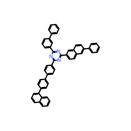 c1ccc(-c2cccc(-c3nc(-c4ccc(-c5ccc(-c6cccc7ccccc67)cc5)cc4)nc(-c4ccc5cc(-c6ccccc6)ccc5c4)n3)c2)cc1